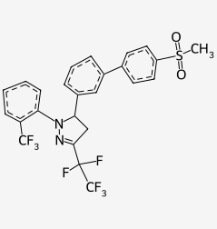 CS(=O)(=O)c1ccc(-c2cccc(C3CC(C(F)(F)C(F)(F)F)=NN3c3ccccc3C(F)(F)F)c2)cc1